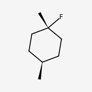 C[C@H]1CC[C@](C)(F)CC1